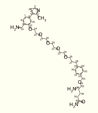 Cc1ncsc1-c1ccc(CN)c(OCCOCCOCCOCCOCCCc2ccc(COC[C@@H](N)CCC(N)=O)cc2)c1